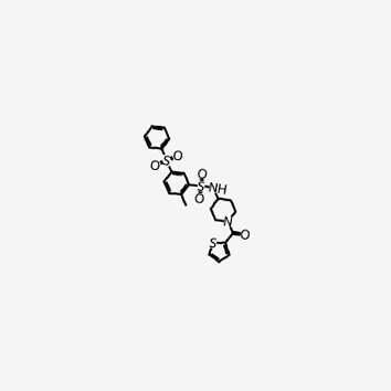 Cc1ccc(S(=O)(=O)c2ccccc2)cc1S(=O)(=O)NC1CCN(C(=O)c2cccs2)CC1